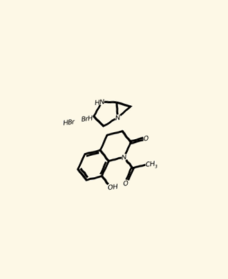 Br.Br.C1CN2CC2N1.CC(=O)N1C(=O)CCc2cccc(O)c21